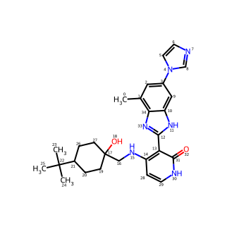 Cc1cc(-n2ccnc2)cc2[nH]c(-c3c(NCC4(O)CCC(C(C)(C)C)CC4)cc[nH]c3=O)nc12